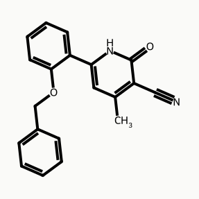 Cc1cc(-c2ccccc2OCc2ccccc2)[nH]c(=O)c1C#N